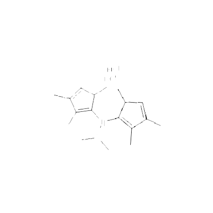 CC1=CC(C)[C]([Hf]([C]2=C(C)C(C)=CC2C)[SiH](C)C)=C1C.Cl.Cl